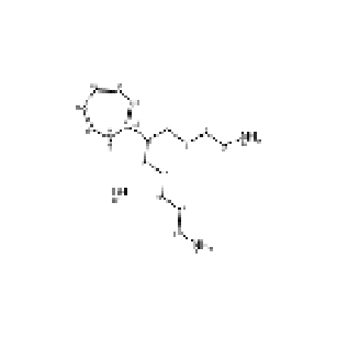 NCCCCCC(CCCCN)C1=CC=CC=CN1.[LiH]